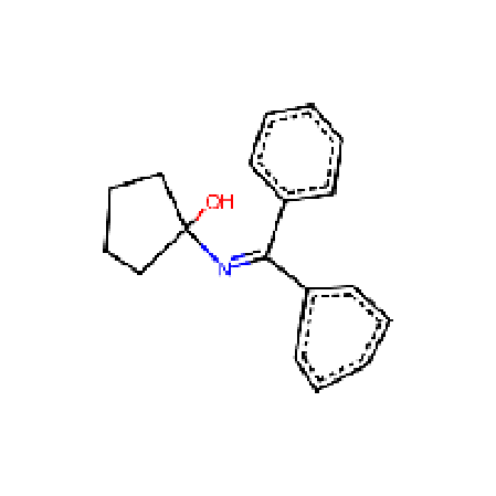 OC1(N=C(c2ccccc2)c2ccccc2)CCCC1